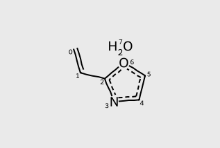 C=Cc1ncco1.O